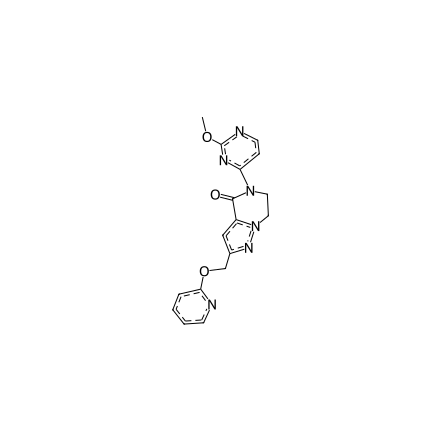 COc1nccc(N2CCn3nc(COc4ccccn4)cc3C2=O)n1